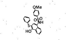 COc1ccc(S(=O)(=O)Nc2cc(Sc3ccccc3)c(O)c3ccccc23)cc1